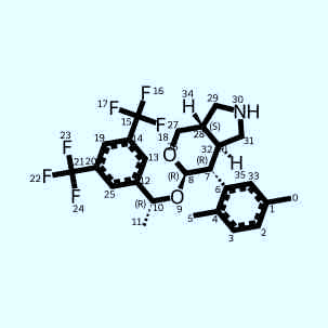 Cc1ccc(C)c([C@@H]2[C@@H](O[C@H](C)c3cc(C(F)(F)F)cc(C(F)(F)F)c3)OC[C@@H]3CNC[C@H]32)c1